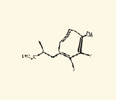 CCOC(=O)C(C)Cc1ccc(O)c(F)c1CC